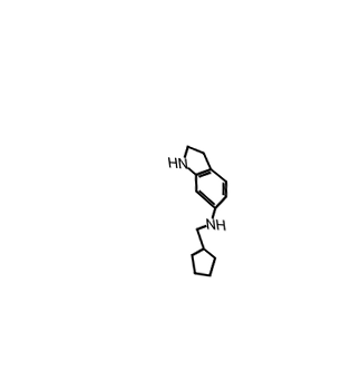 c1cc2c(cc1NCC1CCCC1)NCC2